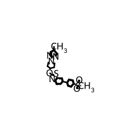 Cc1cnc(N2CCC(Oc3nc4ccc(-c5ccc(S(C)(=O)=O)cc5)cc4s3)CC2)nc1